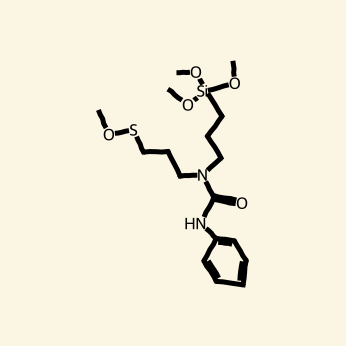 COSCCCN(CCC[Si](OC)(OC)OC)C(=O)Nc1ccccc1